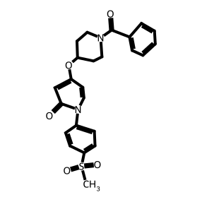 CS(=O)(=O)c1ccc(-n2ccc(OC3CCN(C(=O)c4ccccc4)CC3)cc2=O)cc1